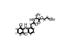 CC(C)[C@H](NC(=O)Cc1ccccc1Nc1c(Cl)cccc1Cl)C(=O)OCCC(C)(C)C